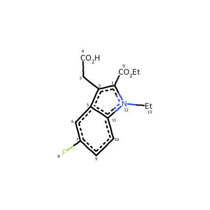 CCOC(=O)c1c(CC(=O)O)c2cc(F)ccc2n1CC